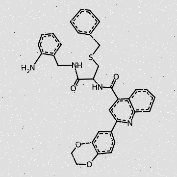 Nc1ccccc1CNC(=O)C(CSCc1ccccc1)NC(=O)c1cc(-c2ccc3c(c2)OCCO3)nc2ccccc12